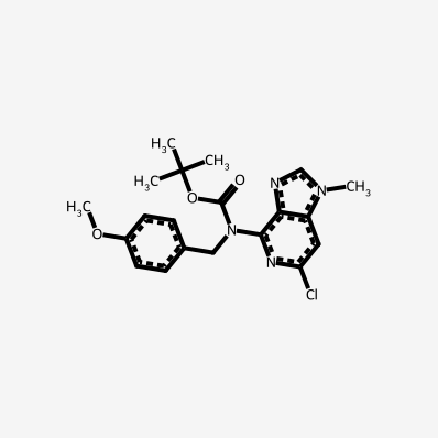 COc1ccc(CN(C(=O)OC(C)(C)C)c2nc(Cl)cc3c2ncn3C)cc1